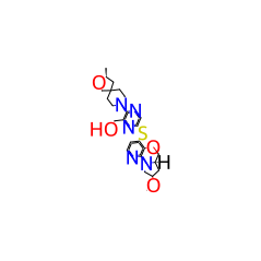 CO[C@@H]1C[C@@H]2COc3c(Sc4cnc(N5CCC6(CC5)CO[C@@H](C)C6)c(CO)n4)ccnc3N2C1